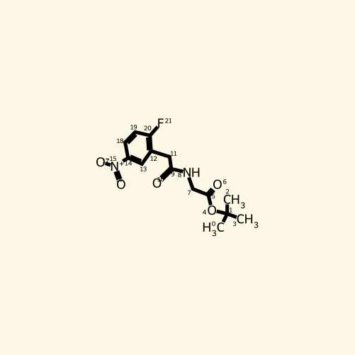 CC(C)(C)OC(=O)CNC(=O)Cc1cc([N+](=O)[O-])ccc1F